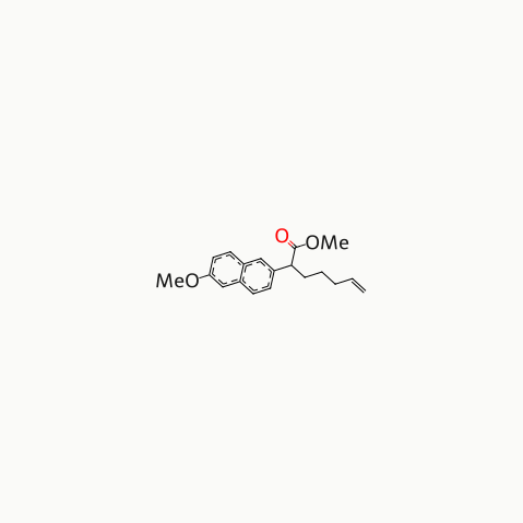 C=CCCCC(C(=O)OC)c1ccc2cc(OC)ccc2c1